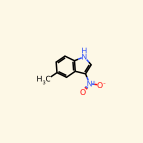 Cc1ccc2[nH]cc([N+](=O)[O-])c2c1